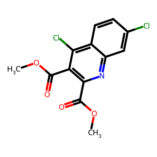 COC(=O)c1nc2cc(Cl)ccc2c(Cl)c1C(=O)OC